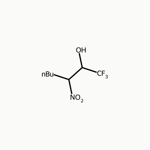 CCCCC(C(O)C(F)(F)F)[N+](=O)[O-]